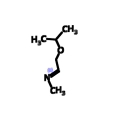 C/N=C/COC(C)C